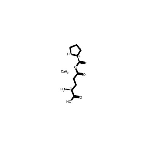 N[C@@H](CCC(=O)OC(=O)[C@@H]1CCCN1)C(=O)O.[CaH2]